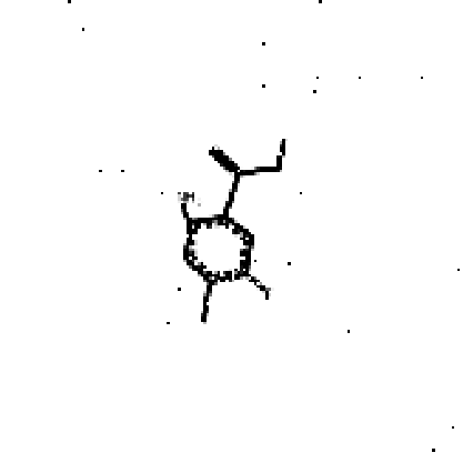 C=C(CC)c1cc(F)c(C)cc1N